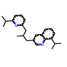 CC(Cc1cnc2c(C(C)C)cccc2c1)Cc1cccc(C(C)C)n1